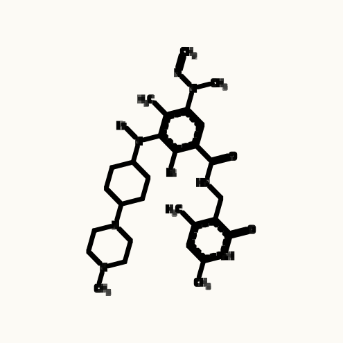 C=NN(C)c1cc(C(=O)NCc2c(C)cc(C)[nH]c2=O)c(CC)c(N(CC)C2CCC(N3CCN(C)CC3)CC2)c1C